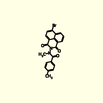 Cc1ccc(C(=O)N(C)N2C(=O)c3cccc4c(Br)ccc(c34)C2=O)cc1